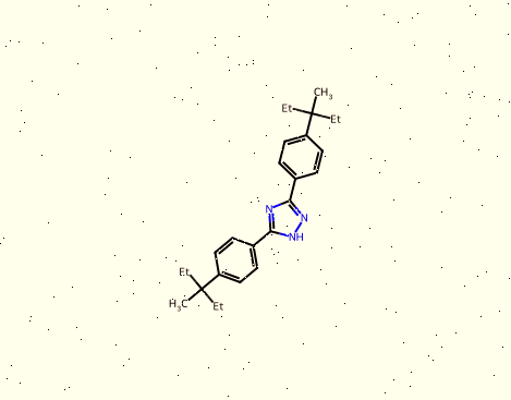 CCC(C)(CC)c1ccc(-c2n[nH]c(-c3ccc(C(C)(CC)CC)cc3)n2)cc1